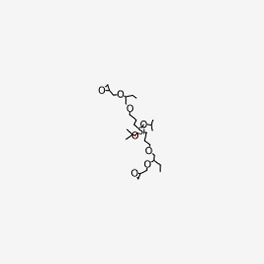 CCC(COCCC[Si](CCCOCC(CC)OCC1CO1)(OC(C)C)OC(C)C)OCC1CO1